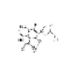 COc1c(N2CC(F)C(CO)C2)c(F)c(C)c2c(=O)[nH]c(=O)n(C3CC3)c12